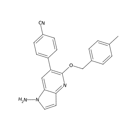 Cc1ccc(COc2nc3ccn(N)c3cc2-c2ccc(C#N)cc2)cc1